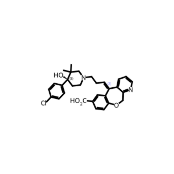 CC1(C)CN(CC/C=C2\c3cc(C(=O)O)ccc3OCc3ncccc32)CC[C@]1(O)c1ccc(Cl)cc1